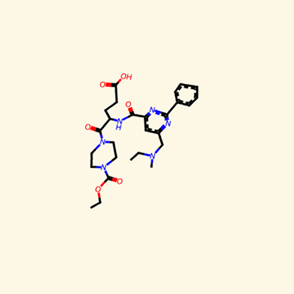 CCOC(=O)N1CCN(C(=O)C(CCC(=O)O)NC(=O)c2cc(CN(C)CC)nc(-c3ccccc3)n2)CC1